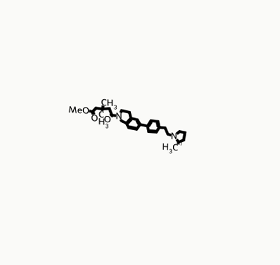 COC(=O)CC(C)(C)CC(=O)N1CCc2cc(-c3ccc(CCN4CCC[C@H]4C)cc3)ccc2C1